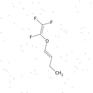 CCC=COC(F)=C(F)F